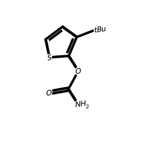 CC(C)(C)c1ccsc1OC(N)=O